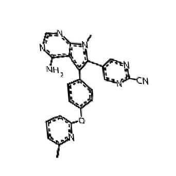 Cc1cccc(Oc2ccc(-c3c(-c4cnc(C#N)nc4)n(C)c4ncnc(N)c34)cc2)n1